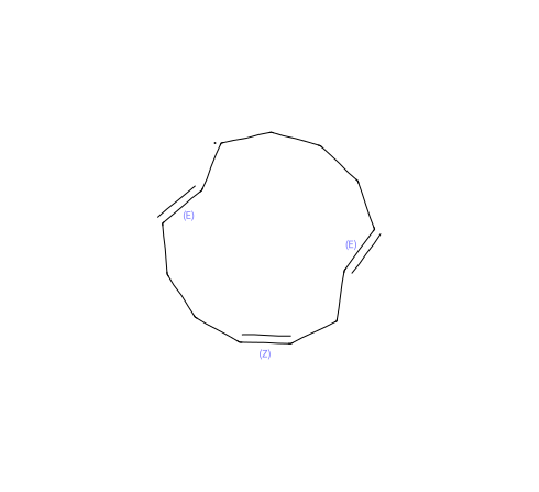 [CH]1/C=C/CC/C=C\C/C=C/CCC1